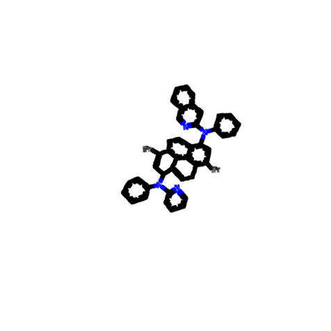 CC(C)C1=CC(N(c2ccccc2)c2ccccn2)C2=CCc3c(C(C)C)cc(N(c4ccccc4)c4cc5ccccc5cn4)c4ccc1c2c34